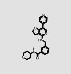 O=C(NC1CCOCC1)c1cccc(CNc2ncc(-c3ccncc3)c3c2CCO3)c1